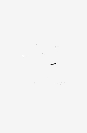 COC(=O)[C@](C)(CO)N(C)C(C)C